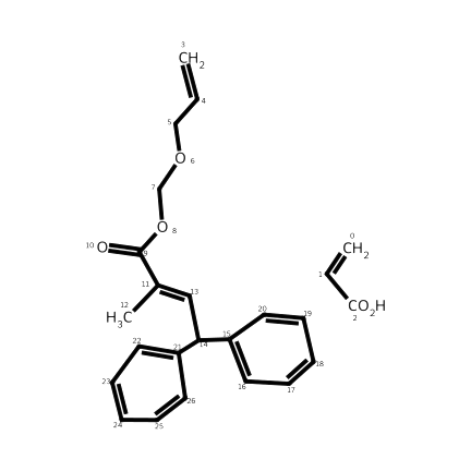 C=CC(=O)O.C=CCOCOC(=O)C(C)=CC(c1ccccc1)c1ccccc1